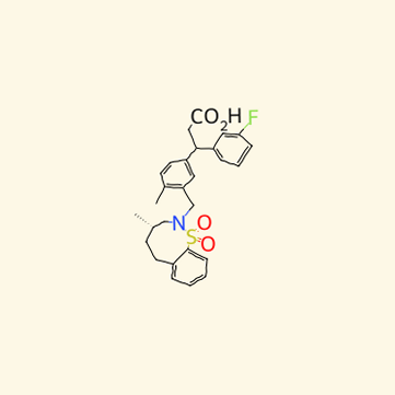 Cc1ccc(C(CC(=O)O)c2cccc(F)c2)cc1CN1C[C@@H](C)CCc2ccccc2S1(=O)=O